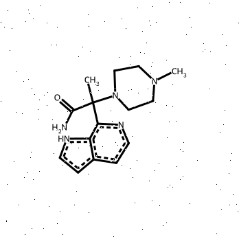 CN1CCN(C(C)(C(N)=O)c2nccc3cc[nH]c23)CC1